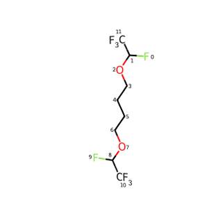 FC(OCCCCOC(F)C(F)(F)F)C(F)(F)F